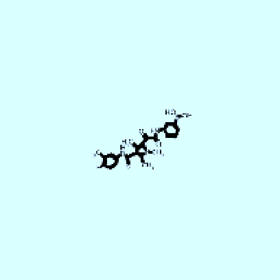 Cc1cc(NC(=O)c2c(C)c(C(=O)C(=O)Nc3cccc(B(O)O)c3)n(C)c2C)ccc1F